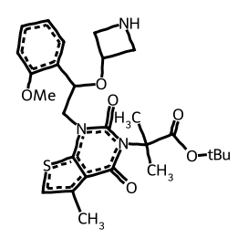 COc1ccccc1C(Cn1c(=O)n(C(C)(C)C(=O)OC(C)(C)C)c(=O)c2c(C)csc21)OC1CNC1